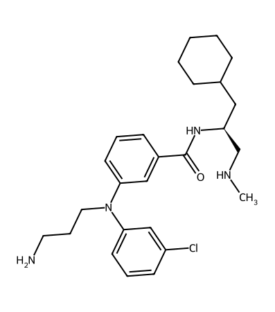 CNC[C@H](CC1CCCCC1)NC(=O)c1cccc(N(CCCN)c2cccc(Cl)c2)c1